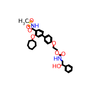 CS(=O)(=O)NC(=O)c1ccc(-c2ccc(OCCOC(=O)NC[C@H](O)c3ccccc3)cc2)cc1OC1CCCCCC1